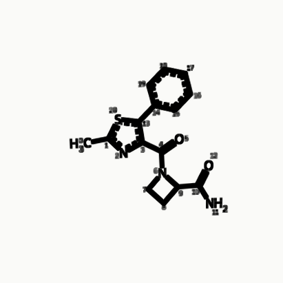 Cc1nc(C(=O)N2CCC2C(N)=O)c(-c2ccccc2)s1